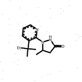 CCC(C)(C)c1cccnc1N1NC(=O)CC1C